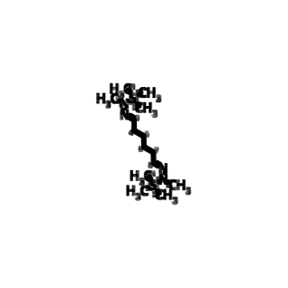 CN(N=CCCCCC=NN(C)[Si](C)(C)C)[Si](C)(C)C